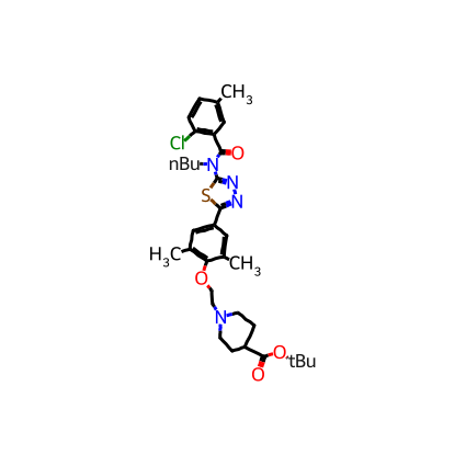 CCCCN(C(=O)c1cc(C)ccc1Cl)c1nnc(-c2cc(C)c(OCCN3CCC(C(=O)OC(C)(C)C)CC3)c(C)c2)s1